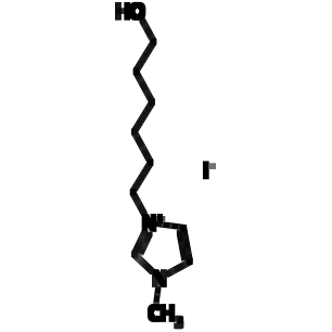 Cn1cc[n+](CCCCCCO)c1.[I-]